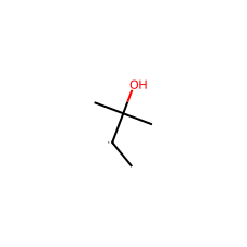 C[CH]C(C)(C)O